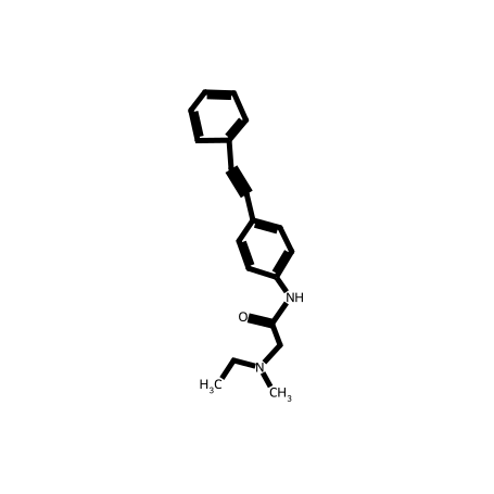 CCN(C)CC(=O)Nc1ccc(C#Cc2ccccc2)cc1